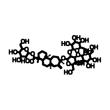 C=C1C[C@@]2(C)CCC3[C@@](C)(CCC[C@@]3(C)C(=O)OC3OC(CO)C(O)C(O)C3O)C2CC[C@@]1(C)OC1OC(CO)C(O)C(OC2OC(CO)C(O)C(O)C2O)C1OC1OC(CO)C(O)C(O)C1O